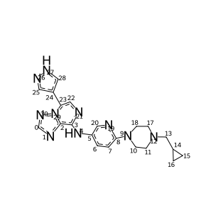 c1nc2c(Nc3ccc(N4CCN(CC5CC5)CC4)nc3)ncc(-c3cn[nH]c3)n2n1